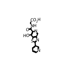 O=C(O)CNC(=O)c1ncc2nc(-c3cccnc3)sc2c1O